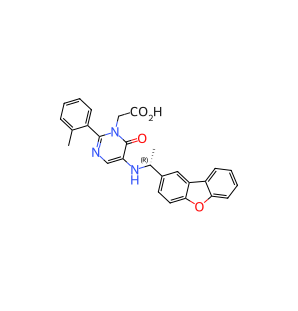 Cc1ccccc1-c1ncc(N[C@H](C)c2ccc3oc4ccccc4c3c2)c(=O)n1CC(=O)O